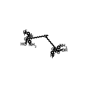 CCN(CCCCCCCCCCCCNC(/C(C(=O)OCCO)=C(/C)Nc1cccc(C(F)(F)F)c1)c1ccc(N)cc1)CCCCCCCCCCCCN1C(=O)N(c2cccc(C(F)(F)F)c2)C(C)=C(C(=O)OCCO)C1c1ccc(N)cc1